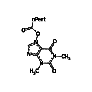 CCCCCC(=O)On1cnc2c1c(=O)n(C)c(=O)n2C